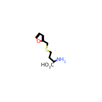 N[C@@H](CCSCc1ccco1)C(=O)O